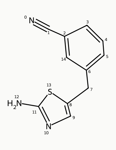 N#Cc1cccc(Cc2cnc(N)s2)c1